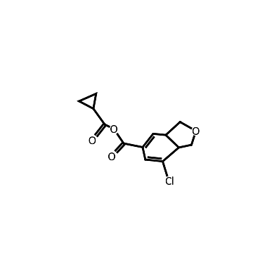 O=C(OC(=O)C1CC1)C1=CC2COCC2C(Cl)=C1